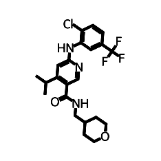 CC(C)c1cc(Nc2cc(C(F)(F)F)ccc2Cl)ncc1C(=O)NCC1CCOCC1